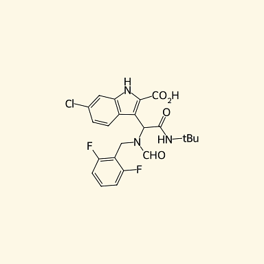 CC(C)(C)NC(=O)C(c1c(C(=O)O)[nH]c2cc(Cl)ccc12)N(C=O)Cc1c(F)cccc1F